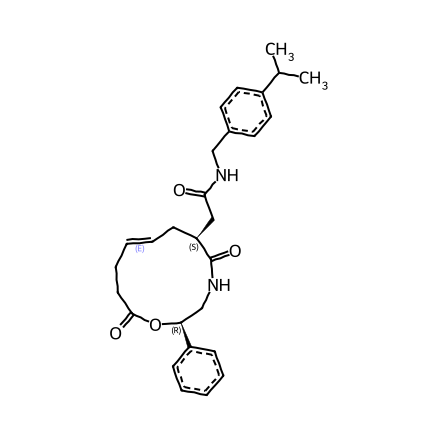 CC(C)c1ccc(CNC(=O)C[C@@H]2C/C=C/CCC(=O)O[C@H](c3ccccc3)CNC2=O)cc1